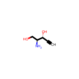 C#C[C@@H](O)[C@@H](N)CO